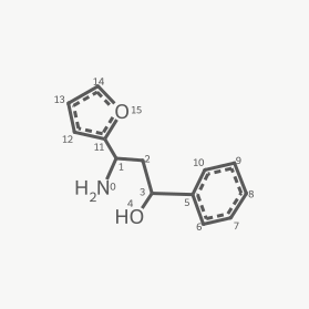 NC(CC(O)c1ccccc1)c1ccco1